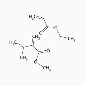 C=C(C(=O)OC)C(C)C.C=CC(=O)OCC